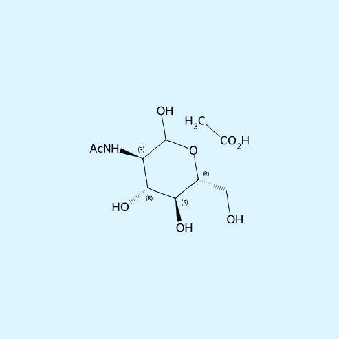 CC(=O)N[C@H]1C(O)O[C@H](CO)[C@@H](O)[C@@H]1O.CC(=O)O